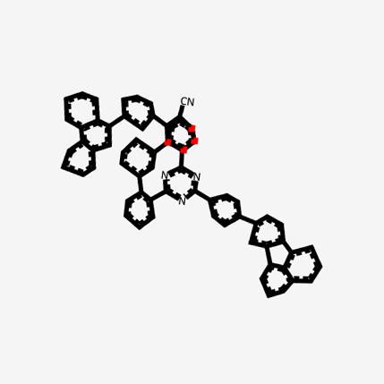 N#Cc1cccc(-c2cccc(-c3ccccc3-c3nc(-c4ccccc4)nc(-c4ccc(-c5ccc6c(c5)-c5cccc7cccc-6c57)cc4)n3)c2)c1-c1cccc(-c2cc3ccccc3c3ccccc23)c1